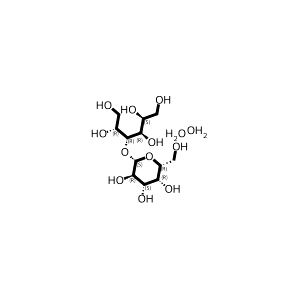 O.O.OC[C@@H](O)[C@@H](O[C@@H]1O[C@H](CO)[C@H](O)[C@H](O)[C@H]1O)[C@H](O)[C@@H](O)CO